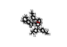 Cc1cc(N(c2ccc(C(C)(C)C)cc2)c2ccc(C(C)(C)C)cc2)cc(N(c2ccc(C(C)(C)C)cc2-c2ccccc2)c2csc3cc4c(cc23)C(C)(C)CCC4(C)C)c1